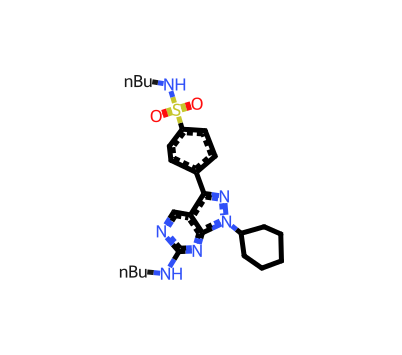 CCCCNc1ncc2c(-c3ccc(S(=O)(=O)NCCCC)cc3)nn(C3CCCCC3)c2n1